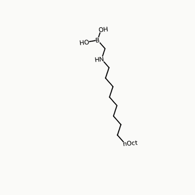 CCCCCCCCCCCCCCCCNCB(O)O